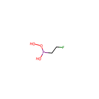 OOP(O)CCF